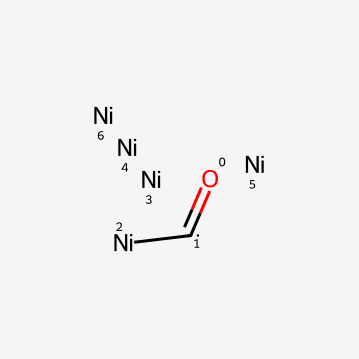 O=[C][Ni].[Ni].[Ni].[Ni].[Ni]